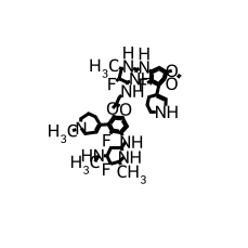 CNC1CC(Nc2cc3c(c(C4=CCN(C)CCC4)c2F)OC(CNC2NC(Nc4cc5c(c(C6=CCNCCC6)c4F)OCO5)NC(C)C2F)O3)NC(C)C1F